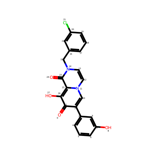 O=c1c(-c2cccc(O)c2)cn2ccn(Cc3cccc(Cl)c3)c(=O)c2c1O